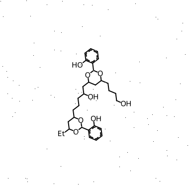 CCC1CC(CCCC(O)CC2CC(CCCCO)OC(c3ccccc3O)O2)OC(c2ccccc2O)O1